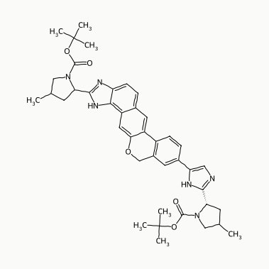 CC1CC(c2nc3ccc4cc5c(cc4c3[nH]2)OCc2cc(-c3cnc([C@@H]4CC(C)CN4C(=O)OC(C)(C)C)[nH]3)ccc2-5)N(C(=O)OC(C)(C)C)C1